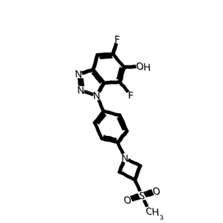 CS(=O)(=O)C1CN(c2ccc(-n3nnc4cc(F)c(O)c(F)c43)cc2)C1